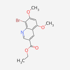 CCOC(=O)c1cnc2c(Br)c(OC)cc(OC)c2c1